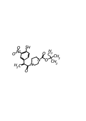 C=C(C(=O)N1CCN(C(=O)OC(C)(C)C)CC1)c1ccc(S)c([N+](=O)[O-])c1